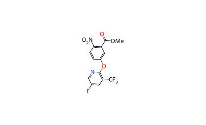 COC(=O)c1cc(Oc2ncc(I)cc2C(F)(F)F)ccc1[N+](=O)[O-]